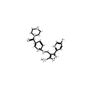 Cc1onc(-c2ccc(F)cn2)c1COc1ccc(C(=O)N2CCOCC2)cn1